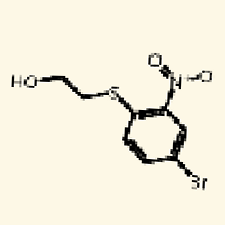 O=[N+]([O-])c1cc(Br)ccc1SCCO